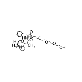 COC(C(C)C(=O)NC(Cc1ccccc1)C(=O)NCCOCCOCCOCCO)C1CCCN1C